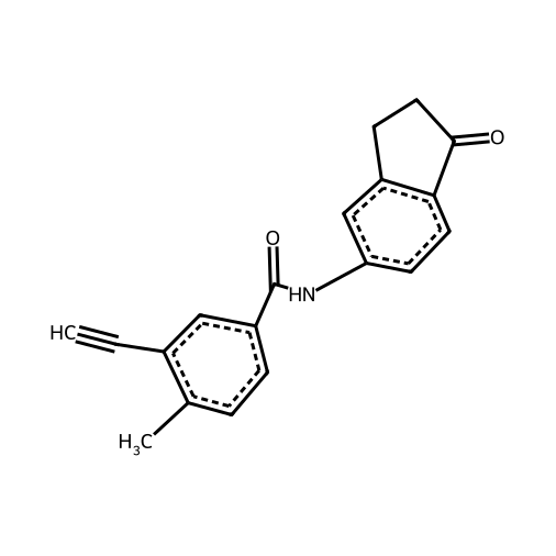 C#Cc1cc(C(=O)Nc2ccc3c(c2)CCC3=O)ccc1C